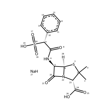 CC1(C)S[C@@H]2[C@H](NC(=O)[C@@H](c3ccccc3)S(=O)(=O)O)C(=O)N2[C@H]1C(=O)O.[NaH]